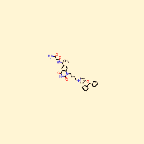 CC(NC(=O)CC(N)=O)c1ccc2c(c1)c(=O)[nH]c(=O)n2CCCCN1CCC(OC(c2ccccc2)c2ccccc2)CC1